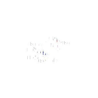 CCCc1sc([Si](C)(C)C(C)(C)C)nc1CC1C(CO[Si](C)(C)C(C)(C)C)OC(C)(C)N1C(=O)OC(C)(C)C